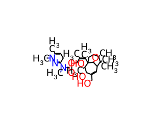 CC1=CCC(N(C)C(=O)OC/C(C)=C\C23C(=O)C(C=C(CO)C(O)C2(C)O)C(C)(C)C(C)C[C@H]3C)=NN1C